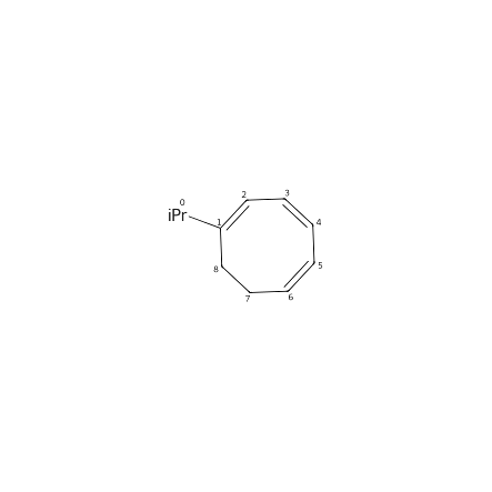 CC(C)C1=CC=CC=CCC1